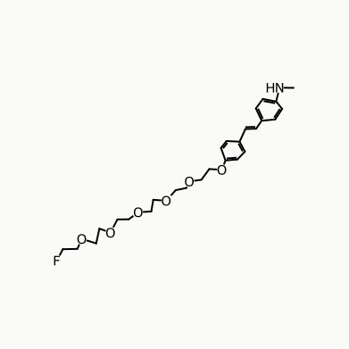 CNc1ccc(C=Cc2ccc(OCCOCCOCCOCCOCCOCCF)cc2)cc1